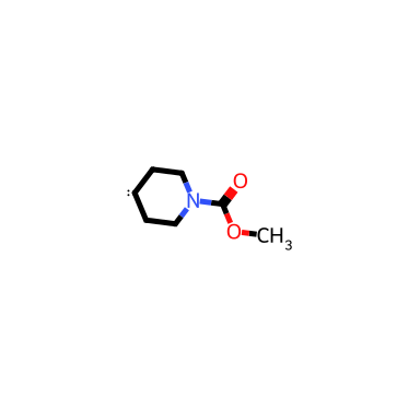 COC(=O)N1CC[C]CC1